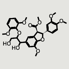 COC(=O)[C@@H]1c2cc(C(O)C(CO)Oc3c(OC)cccc3OC)cc(OC)c2O[C@H]1c1ccc(OC)c(OC)c1